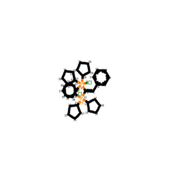 ClC1(P(Cl)(C(=Cc2ccccc2)[PH](C2CCCC2)(C2CCCC2)C2CCCC2)(C2CCCC2)C2CCCC2)CCCC1